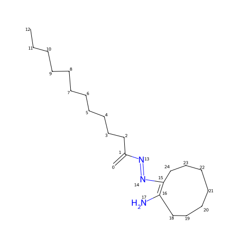 C=C(CCCCCCCCCCC)N=N/C1=C(\N)CCCCCCC1